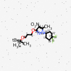 Cc1c([N+](=O)[O-])c(OCCCO[Si](C)(C)C(C)(C)C)nn1C1CCC(F)(F)CC1